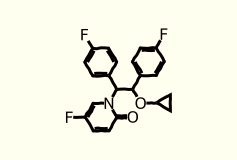 O=c1ccc(F)cn1C(c1ccc(F)cc1)C(OC1CC1)c1ccc(F)cc1